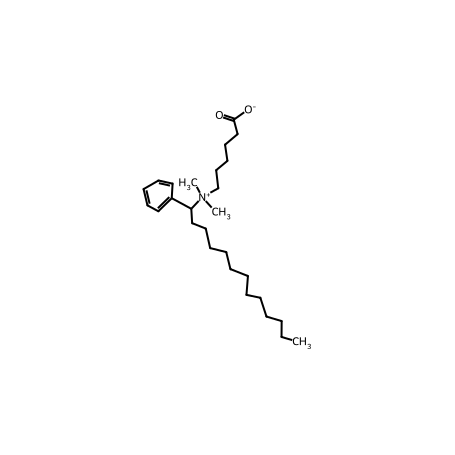 CCCCCCCCCCCCC(c1ccccc1)[N+](C)(C)CCCCCC(=O)[O-]